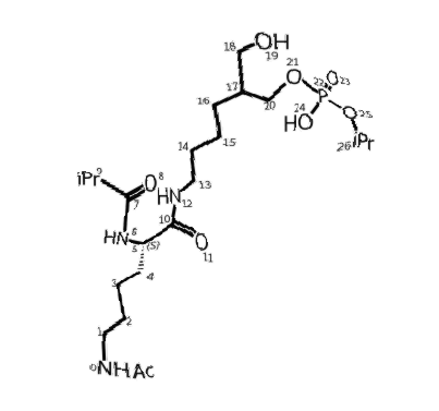 CC(=O)NCCCC[C@H](NC(=O)C(C)C)C(=O)NCCCCC(CO)COP(=O)(O)OC(C)C